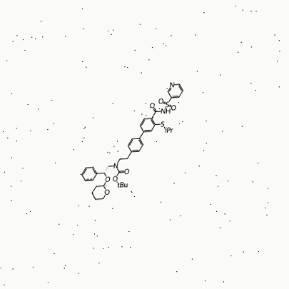 CC(C)Sc1cc(-c2ccc(CCN(C[C@H](OC3CCCCO3)c3ccccc3)C(=O)OC(C)(C)C)cc2)ccc1C(=O)NS(=O)(=O)c1cccnc1